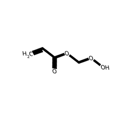 C=CC(=O)OCOO